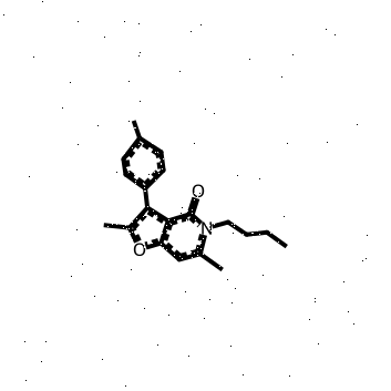 CCCCn1c(C)cc2oc(C)c(-c3ccc(C)cc3)c2c1=O